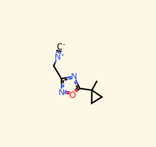 [C-]#[N+]Cc1noc(C2(C)CC2)n1